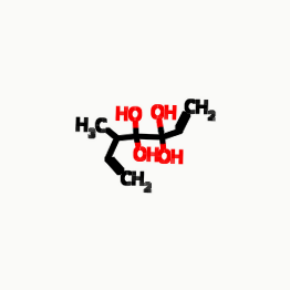 C=CC(C)C(O)(O)C(O)(O)C=C